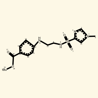 Cn1cnc(S(=O)(=O)NCCNc2ccc(C(=O)OC(C)(C)C)cc2)c1